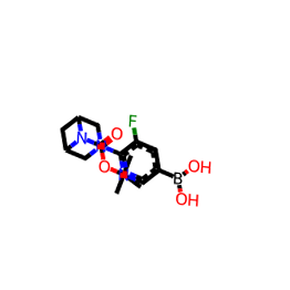 CC(C)(C)OC(=O)N1C2CC1CN(c1ncc(B(O)O)cc1F)C2